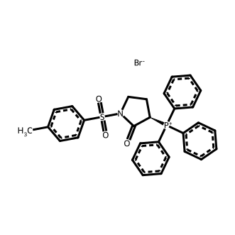 Cc1ccc(S(=O)(=O)N2CC[C@@H]([P+](c3ccccc3)(c3ccccc3)c3ccccc3)C2=O)cc1.[Br-]